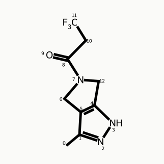 Cc1n[nH]c2c1CN(C(=O)CC(F)(F)F)C2